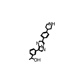 CC(O)c1cccc(-c2cnn3cc(-c4ccc(C5CCNCC5)cc4)cnc23)c1